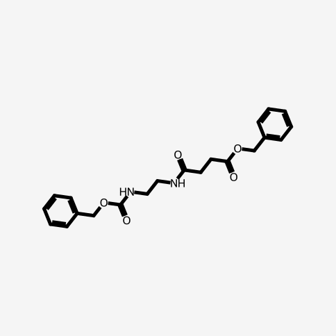 O=C(CCC(=O)OCc1ccccc1)NCCNC(=O)OCc1ccccc1